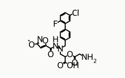 COc1cc(C(=O)NN(Cc2ccc(-c3cc(Cl)ccc3F)cc2)CC(OC(=O)CN)C(=O)O)on1